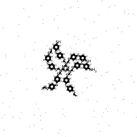 CCSc1ccc(Sc2ccc(SCN(CSc3ccc(Sc4ccc(N)cc4)cc3)c3nc(N(CSc4ccc(Sc5ccc(S)cc5)cc4)CSc4ccc(Sc5ccc(S)cc5)cc4)nc(N(CSc4ccc(Sc5ccc(SCC)cc5)cc4)CSc4ccc(Sc5ccc(SCC)cc5)cc4)n3)cc2)cc1